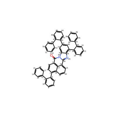 O=c1c2ccc(-c3ccccc3-c3ccccc3)c3cccc(c32)c2nc3c(-c4ccccc4-c4ccccc4)cc(-c4ccccc4-c4ccccc4)cc3n12